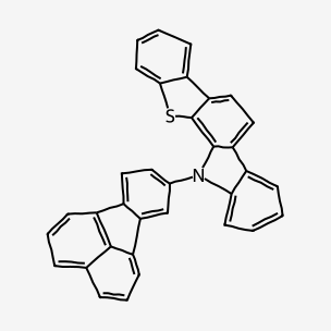 c1cc2c3c(cccc3c1)-c1cc(-n3c4ccccc4c4ccc5c6ccccc6sc5c43)ccc1-2